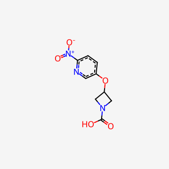 O=C(O)N1CC(Oc2ccc([N+](=O)[O-])nc2)C1